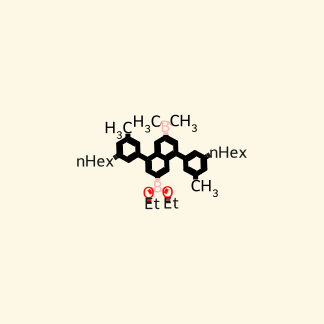 CCCCCCc1cc(C)cc(-c2cc(B(OCC)OCC)cc3c(-c4cc(C)cc(CCCCCC)c4)cc(B(C)C)cc23)c1